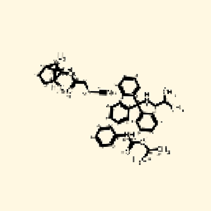 CC(C)CNC(c1ccccc1)(c1ccccc1)c1ccccc1.CC(C)OC(=O)Nc1ccccc1.CC1(C)C2CCC1(C)C(OC(=O)CSC#N)C2